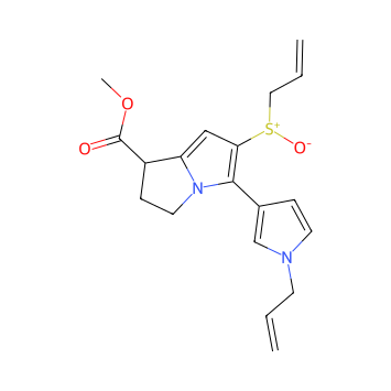 C=CCn1ccc(-c2c([S+]([O-])CC=C)cc3n2CCC3C(=O)OC)c1